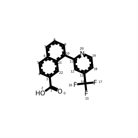 O=C(O)c1ccc2cccc(-c3cc(C(F)(F)F)ccn3)c2c1